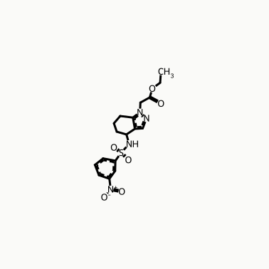 CCOC(=O)Cn1ncc2c1CCCC2NS(=O)(=O)c1cccc([N+](=O)[O-])c1